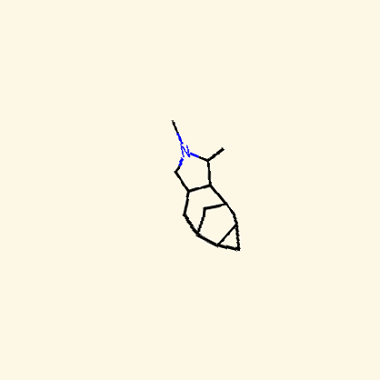 CC1C2C(CC3CC2C2CC32)CN1C